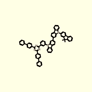 CC1(C)c2ccccc2-c2ccc(-n3c4ccccc4c4ccc(-c5ccc6c7ccccc7n(-c7cccc(-c8nc(-c9ccc(-c%10ccccc%10)cc9)nc(-c9ccc(-c%10ccccc%10)cc9)n8)c7)c6c5)cc43)cc21